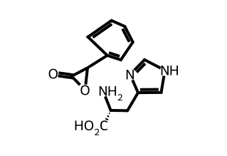 N[C@H](Cc1c[nH]cn1)C(=O)O.O=C1OC1c1ccccc1